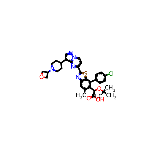 Cc1cc2nc(-c3ccn4ncc(C5CCN(C6COC6)CC5)c4n3)sc2c(-c2ccc(Cl)cc2)c1C(OC(C)(C)C)C(=O)O